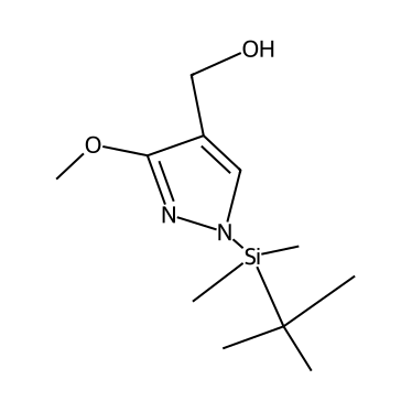 COc1nn([Si](C)(C)C(C)(C)C)cc1CO